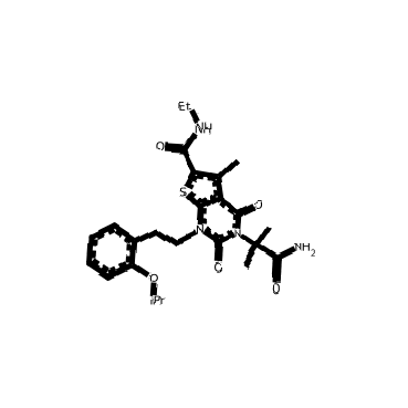 CCNC(=O)c1sc2c(c1C)c(=O)n(C(C)(C)C(N)=O)c(=O)n2CCc1ccccc1OC(C)C